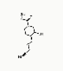 C#CCOCC1CCN(C(=O)OC(C)(C)C)CC1C